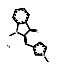 CN1/C(=C/c2ccn(C)c2)C(=O)c2ccccc21.I